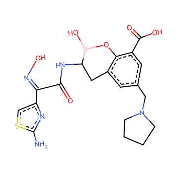 Nc1nc(C(=NO)C(=O)NC2Cc3cc(CN4CCCC4)cc(C(=O)O)c3OB2O)cs1